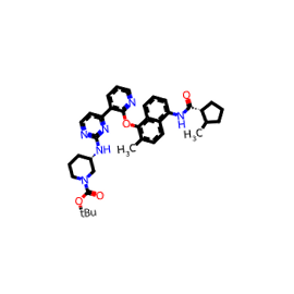 Cc1ccc2c(NC(=O)[C@@H]3CCCC3C)cccc2c1Oc1ncccc1-c1ccnc(N[C@H]2CCCN(C(=O)OC(C)(C)C)C2)n1